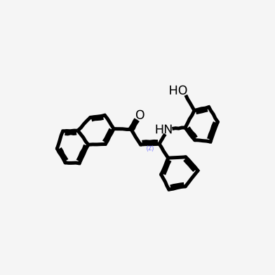 O=C(/C=C(\Nc1ccccc1O)c1ccccc1)c1ccc2ccccc2c1